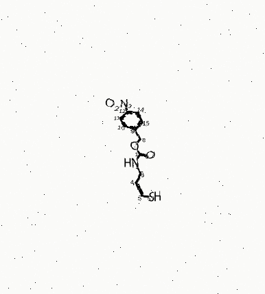 O=C(NC/C=C\S)OCc1ccc([N+](=O)[O-])cc1